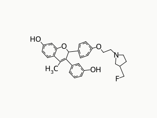 CC1=C(c2cccc(O)c2)C(c2ccc(OCCN3CCC(CF)C3)cc2)Oc2cc(O)ccc21